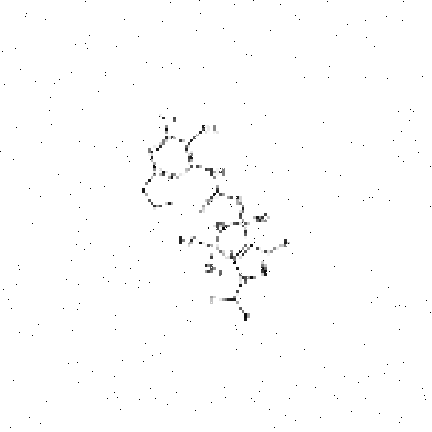 Cc1c(C(F)(F)F)nc2c(c1NC(=O)N=S(=O)(N[Si](C)(C)C(C)(C)C)c1nn(C(F)F)cc1F)CCC2